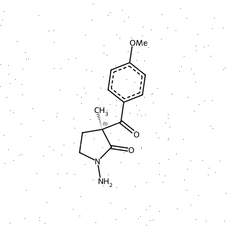 COc1ccc(C(=O)[C@]2(C)CCN(N)C2=O)cc1